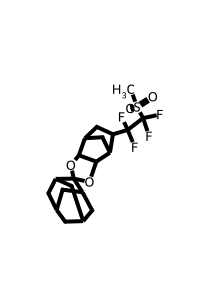 CS(=O)(=O)C(F)(F)C(F)(F)C1CC2CC1C1OC3(OC21)C1CC2CC(C1)CC3C2